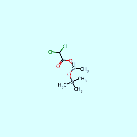 C[SiH](OC(=O)C(Cl)Cl)O[Si](C)(C)C